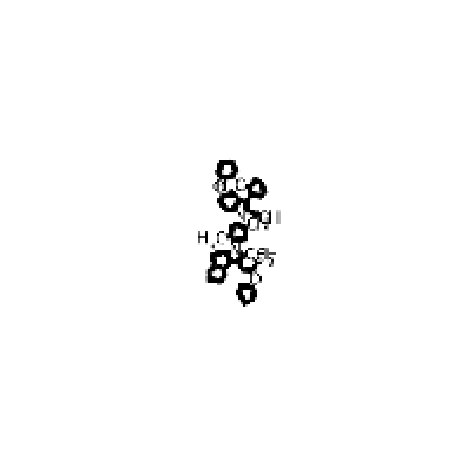 C#C/C(=C\c1c(C)n(-c2cc(C#N)c(-n3c(C#C)c(-c4ccccc4C)c4cc(Oc5ccccc5)ccc43)cc2C)c2ccc3ccccc3c12)Oc1ccccc1